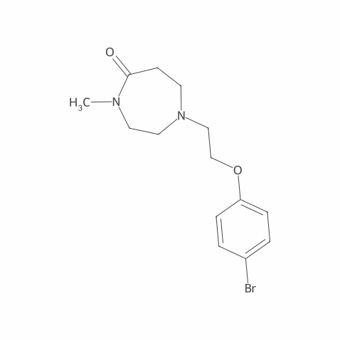 CN1CCN(CCOc2ccc(Br)cc2)CCC1=O